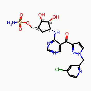 NS(=O)(=O)OC[C@H]1C[C@@H](Nc2ncncc2C(=O)c2ccn(Cc3cc(Cl)ccn3)n2)[C@H](O)[C@@H]1O